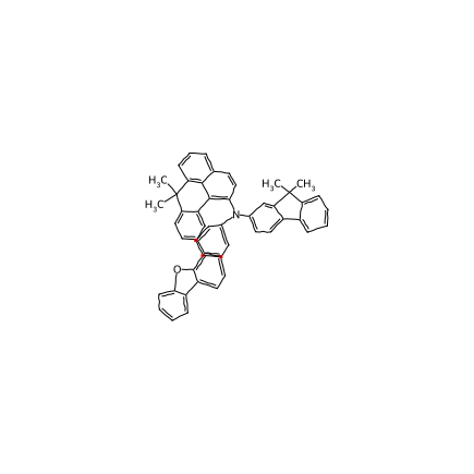 CC1(C)c2ccccc2-c2ccc(N(c3ccccc3)c3ccc4cccc5c4c3-c3cc(-c4cccc6c4oc4ccccc46)ccc3C5(C)C)cc21